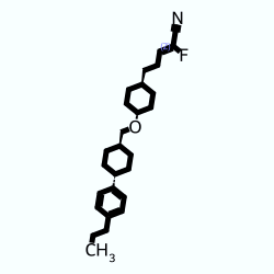 CCCc1ccc([C@H]2CC[C@H](CO[C@H]3CC[C@H](CC/C=C(\F)C#N)CC3)CC2)cc1